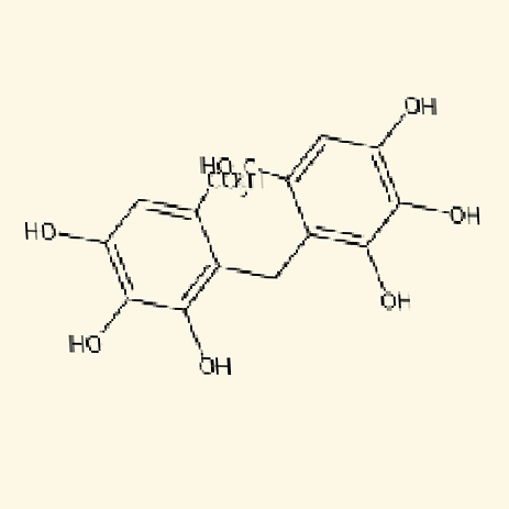 O=C(O)c1cc(O)c(O)c(O)c1Cc1c(C(=O)O)cc(O)c(O)c1O